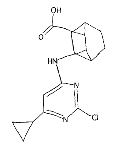 O=C(O)C1C2CCC(CC2)C1Nc1cc(C2CC2)nc(Cl)n1